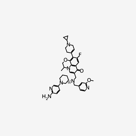 COc1cc(CN(Cc2cn3c4c(c(C5=CCN(C6CC6)CC5)c(F)cc4c2=O)OCC3C)[C@H]2CCCN(c3ccc(N)nc3)C2)ccn1